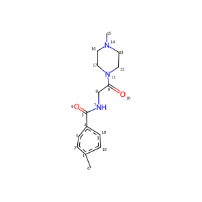 Cc1ccc(C(=O)NCC(=O)N2CCN(C)CC2)cc1